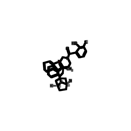 Cc1nc2ccccc2n1C1C[C@H]2CC[C@@H](C1)N2CCC1(c2ccccc2)CCN(C(=O)c2cccc(Cl)c2O)CC1